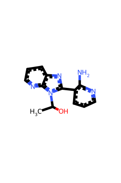 CC(O)n1c(-c2cccnc2N)nc2cccnc21